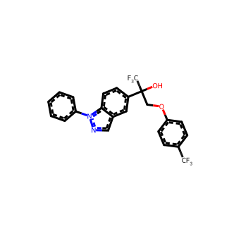 OC(COc1ccc(C(F)(F)F)cc1)(c1ccc2c(cnn2-c2ccccc2)c1)C(F)(F)F